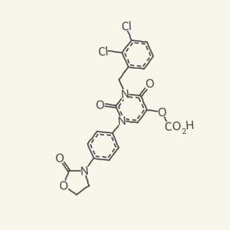 O=C(O)Oc1cn(-c2ccc(N3CCOC3=O)cc2)c(=O)n(Cc2cccc(Cl)c2Cl)c1=O